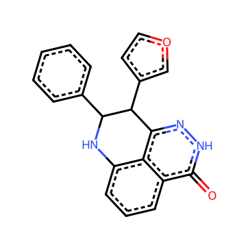 O=c1[nH]nc2c3c(cccc13)NC(c1ccccc1)C2c1ccoc1